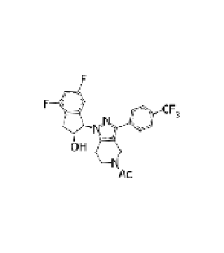 CC(=O)N1CCc2c(c(-c3ccc(C(F)(F)F)cc3)nn2[C@@H]2c3cc(F)cc(F)c3C[C@@H]2O)C1